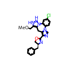 COCC1=C2Cc3c(C4=N[C@@H](Cc5ccccc5)CO4)ncn3-c3ccc(Cl)cc3N2NN1